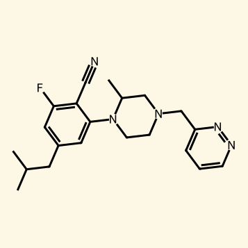 CC(C)Cc1cc(F)c(C#N)c(N2CCN(Cc3cccnn3)CC2C)c1